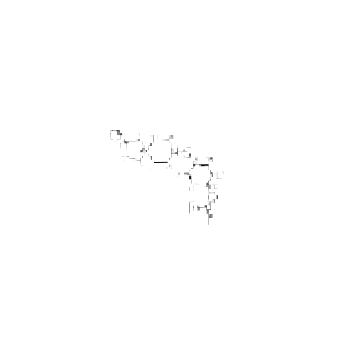 O=C1CCC2(CCN(Sc3ccc(OC(F)F)cc3)CC2)C1